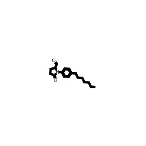 CCCCCCCc1ccc(N2C(=O)CCC2C=O)cc1